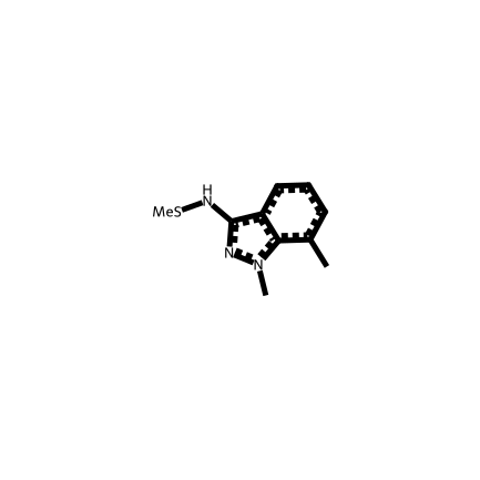 CSNc1nn(C)c2c(C)cccc12